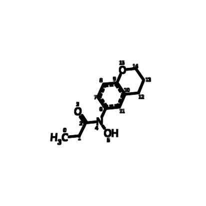 CCC(=O)N(O)c1ccc2c(c1)CCCO2